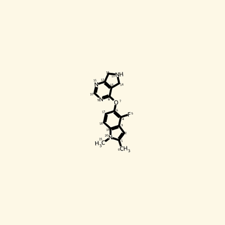 Cc1cc2c(F)c(Oc3ncnc4c3CNC4)ccc2n1C